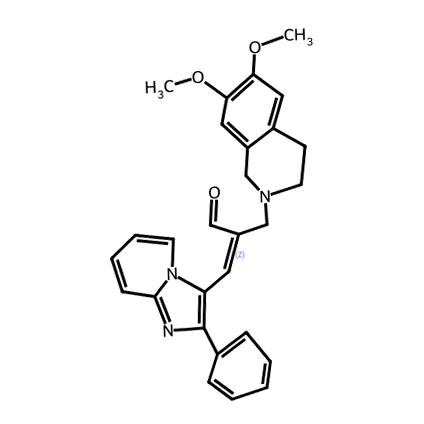 COc1cc2c(cc1OC)CN(C/C(C=O)=C/c1c(-c3ccccc3)nc3ccccn13)CC2